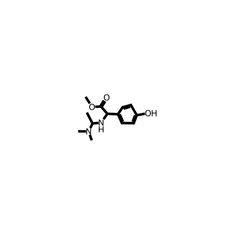 COC(=O)C(NC(C)N(C)C)c1ccc(O)cc1